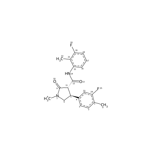 Cc1ccc([C@H]2CN(C)C(=O)[C@@H]2C(=O)Nc2cccc(F)c2C)cc1F